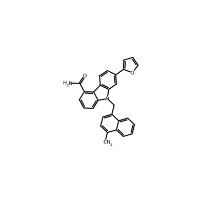 Cc1ccc(Cn2c3cc(-c4ccco4)c[c]c3c3c(C(N)=O)cccc32)c2ccccc12